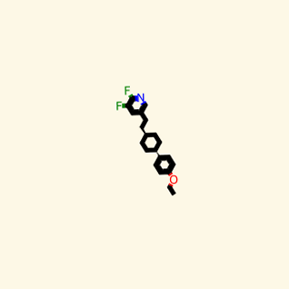 CCOc1ccc([C@H]2CC[C@H](CCc3cnc(F)c(F)c3)CC2)cc1